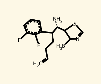 BC1N=CSC1[C@@H](N)[C@@H](CCC=C)c1cccc(F)c1F